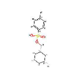 Cc1ccc(S(=O)(=O)OC[C@H]2CCC[C@@H](C)C2)cc1